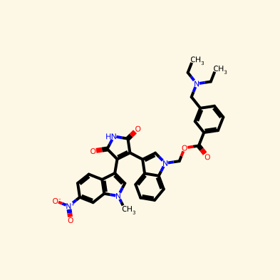 CCN(CC)Cc1cccc(C(=O)OCn2cc(C3=C(c4cn(C)c5cc([N+](=O)[O-])ccc45)C(=O)NC3=O)c3ccccc32)c1